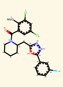 COc1c(Cl)cc(Cl)cc1C(=O)N1CCCCC1Cc1nnc(-c2cccc(F)c2)o1